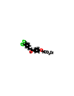 CCOC(=O)COc1ccc(C(=O)CCc2ccc(Cl)c(Cl)c2)cc1